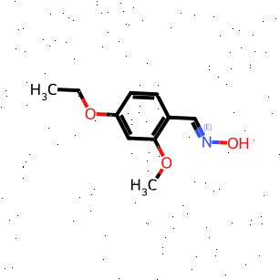 CCOc1ccc(/C=N/O)c(OC)c1